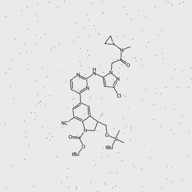 CN(C(=O)Cn1nc(Cl)cc1Nc1nccc(-c2cc(C#N)c3c(c2)[C@@](C)(CO[Si](C)(C)C(C)(C)C)CN3C(=O)OC(C)(C)C)n1)C1CC1